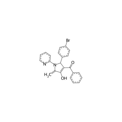 C=C1C(O)=C(C(=O)c2ccccc2)C(c2ccc(Br)cc2)N1c1ccccn1